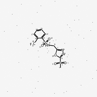 CS(=O)(=O)c1nnc(CNS(=O)(=O)c2ccccc2C(F)(F)F)o1